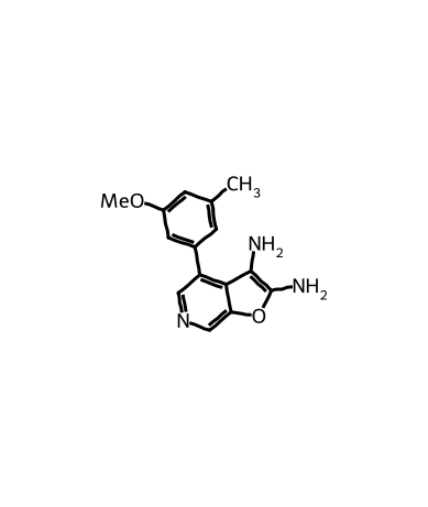 COc1cc(C)cc(-c2cncc3oc(N)c(N)c23)c1